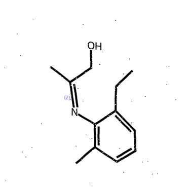 CCc1cccc(C)c1/N=C(/C)CO